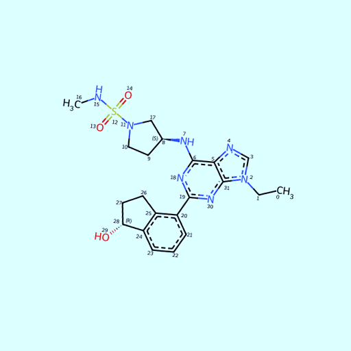 CCn1cnc2c(N[C@H]3CCN(S(=O)(=O)NC)C3)nc(-c3cccc4c3CC[C@H]4O)nc21